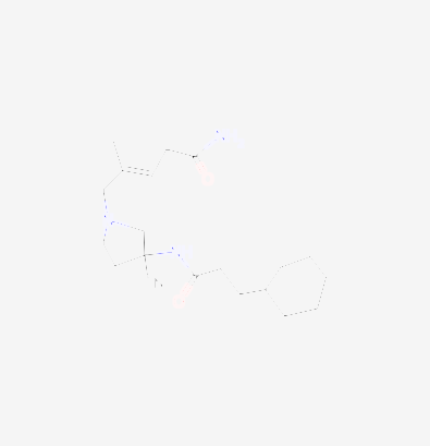 CC(=CCC(N)=O)CN1CCC(C#N)(NC(=O)[CH]CC2CCCCC2)C1